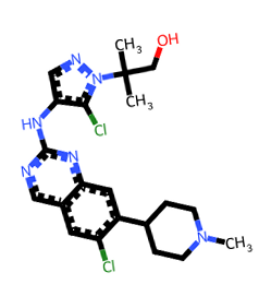 CN1CCC(c2cc3nc(Nc4cnn(C(C)(C)CO)c4Cl)ncc3cc2Cl)CC1